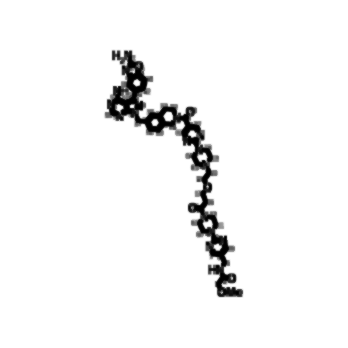 COCC(=O)NCc1cnc(N2CCN(C(=O)CCOCCN3CCN(c4ncc(C(=O)N5CCc6cc(Cn7nc(-c8ccc9oc(N)nc9c8)c8c(N)ncnc87)ccc6C5)cn4)CC3)CC2)nc1